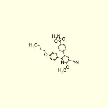 CCCCOc1ccc(-c2nc(OC)c(C#N)cc2-c2ccc(S(N)(=O)=O)cc2)cc1